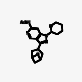 CC(=O)Nc1cc2c(cn1)c(N1CC3CC(C1)O3)nn2C1CCCCO1